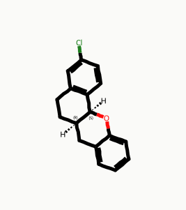 Clc1ccc2c(c1)CC[C@@H]1Cc3ccccc3O[C@H]21